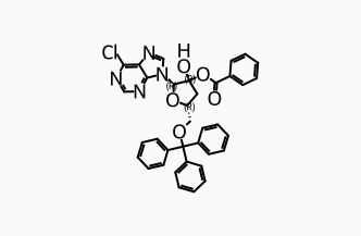 O=C(O[C@]1(O)C[C@H](COC(c2ccccc2)(c2ccccc2)c2ccccc2)O[C@H]1n1cnc2c(Cl)ncnc21)c1ccccc1